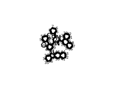 CC[C@@H]1C(c2ccccc2)=NC(c2cc3ccccc3c3ccccc23)=NC1c1cc(-n2c3ccccc3c3cc4ccccc4cc32)cc2oc3ccccc3c12